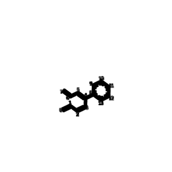 C=C/C=C\C(=C/C=C)c1ccccc1